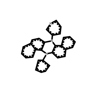 c1ccc(N2c3ccc4ccccc4c3N(c3cccnc3)c3ccc4ccccc4c32)cc1